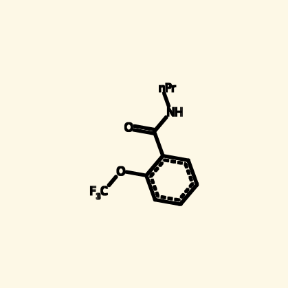 CCCNC(=O)c1ccccc1OC(F)(F)F